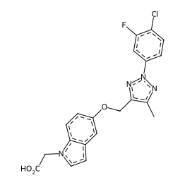 Cc1nn(-c2ccc(Cl)c(F)c2)nc1COc1ccc2c(ccn2CC(=O)O)c1